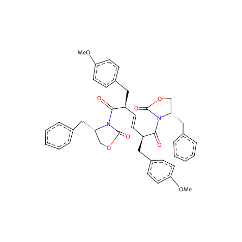 COc1ccc(C[C@@H](/C=C/[C@H](Cc2ccc(OC)cc2)C(=O)N2C(=O)OC[C@@H]2Cc2ccccc2)C(=O)N2C(=O)OC[C@@H]2Cc2ccccc2)cc1